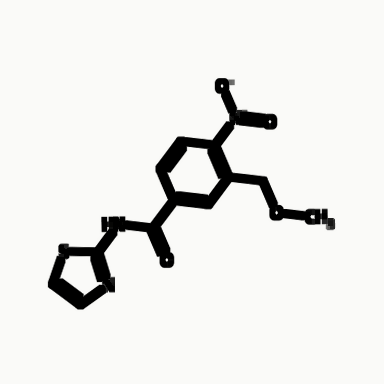 COCc1cc(C(=O)Nc2nccs2)ccc1[N+](=O)[O-]